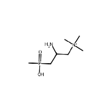 C[N+](C)(C)CC(N)CP(C)(=O)O